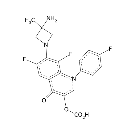 CC1(N)CN(c2c(F)cc3c(=O)c(OC(=O)O)cn(-c4ccc(F)cc4)c3c2F)C1